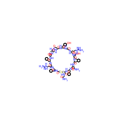 CC1NC(=O)C(Cc2ccc(O)cc2)NC(=O)C(CC(N)=O)NC(=O)C(C(C)C)NC(=O)C(CO)NC(=O)C(Cc2ccccc2)N(C)C(=O)C(CCCNC(=N)N)NC(=O)C(Cc2ccccc2)NC(=O)CSCC(C(=O)NCC(N)=O)NC(=O)C(Cc2ccccc2)N(C)C(=O)C(CC(N)=O)NC(=O)C2Cc3ccccc3CN2C(=O)C(CC(=O)O)NC(=O)C(CCCNC(=N)N)NC1=O